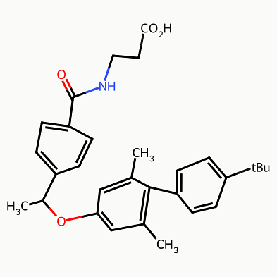 Cc1cc(OC(C)c2ccc(C(=O)NCCC(=O)O)cc2)cc(C)c1-c1ccc(C(C)(C)C)cc1